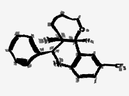 FC(F)(F)c1ccc2c(c1)[C@H]1OCCC[C@H]1[C@H](c1ccccc1)N2